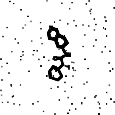 O=C(Nc1ccc2cnccc2c1)[C@H](I)C1=CC=CCC1